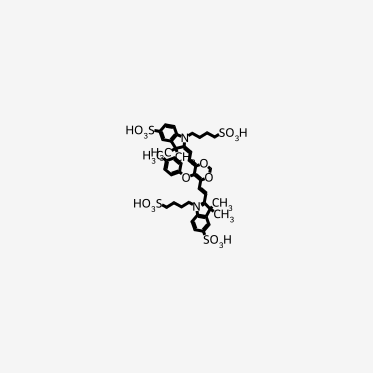 Cc1ccc(OC2=C(/C=C/C3=[N+](CCCCS(=O)(=O)O)c4ccc(S(=O)(=O)O)cc4C3(C)C)OCO/C2=C\C=C2\N(CCCCS(=O)(=O)O)c3ccc(S(=O)(=O)O)cc3C2(C)C)cc1